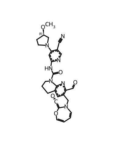 CO[C@@H]1CCN(c2cc(NC(=O)N3CCCc4cc(CN5C=CC=COC5=C=O)c(C=O)nc43)ncc2C#N)C1